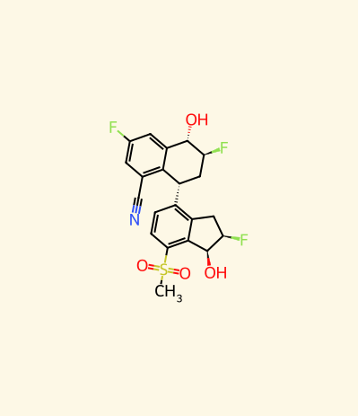 CS(=O)(=O)c1ccc([C@H]2C[C@H](F)[C@@H](O)c3cc(F)cc(C#N)c32)c2c1[C@H](O)[C@H](F)C2